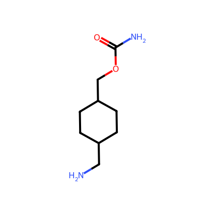 NCC1CCC(COC(N)=O)CC1